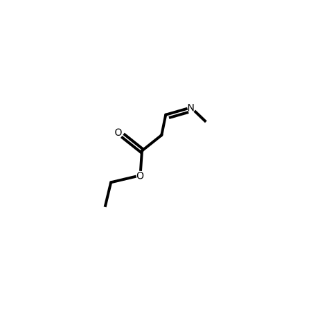 CCOC(=O)C/C=N\C